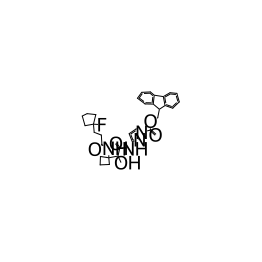 O=C(CCC1(F)CCCC1)NC1(C(O)C(=O)Nc2ccn(C(=O)OCC3c4ccccc4-c4ccccc43)n2)CCC1